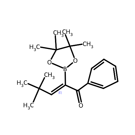 CC(C)(C)/C=C(\B1OC(C)(C)C(C)(C)O1)C(=O)c1ccccc1